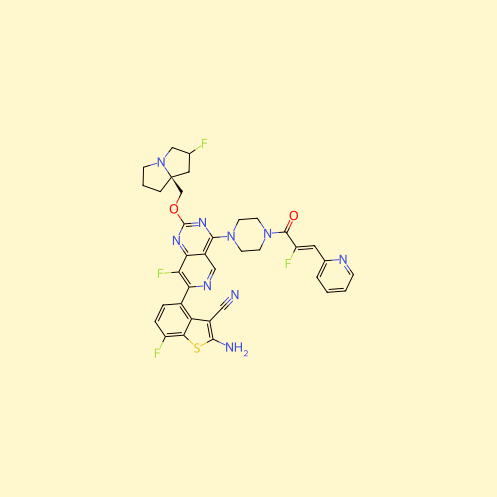 N#Cc1c(N)sc2c(F)ccc(-c3ncc4c(N5CCN(C(=O)/C(F)=C/c6ccccn6)CC5)nc(OC[C@@]56CCCN5CC(F)C6)nc4c3F)c12